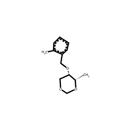 Cc1ccccc1CO[C@H]1COCO[C@H]1C